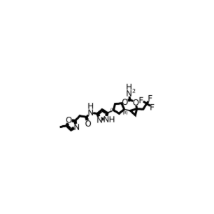 Cc1cnc(CC(=O)Nc2cc([C@H]3CC[C@@H](C4CC4(CC(F)(F)F)OC(N)=O)C3)[nH]n2)o1